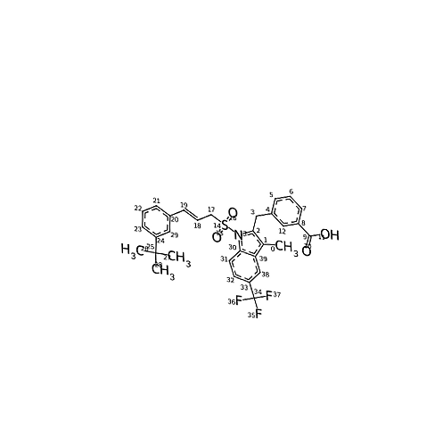 Cc1c(Cc2cccc(C(=O)O)c2)n(S(=O)(=O)CC=Cc2cccc(C(C)(C)C)c2)c2ccc(C(F)(F)F)cc12